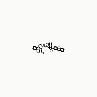 Cc1ccccc1N1CCN(CCCCNC(=O)c2ccc3c(c2)Cc2ccccc2O3)CC1.Cl